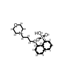 O=S(=O)(O)c1cccc2cccc(OCCCN3CCOCC3)c12